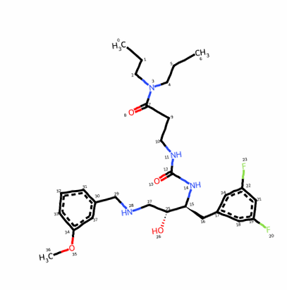 CCCN(CCC)C(=O)CCNC(=O)N[C@@H](Cc1cc(F)cc(F)c1)[C@H](O)CNCc1cccc(OC)c1